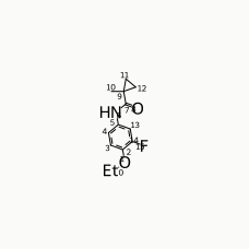 CCOc1ccc(NC(=O)C2(C)CC2)cc1F